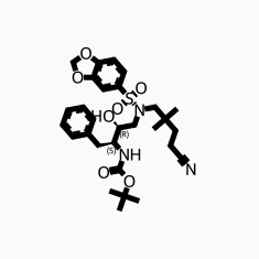 CC(C)(CCC#N)CN(C[C@@H](O)[C@H](Cc1ccccc1)NC(=O)OC(C)(C)C)S(=O)(=O)c1ccc2c(c1)OCO2